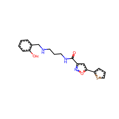 O=C(NCCCNCc1ccccc1O)c1cc(-c2cccs2)on1